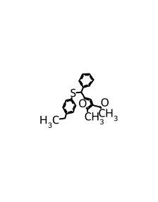 CCc1ccc(SC(c2ccccc2)c2cc(C(C)=O)c(C)o2)cc1